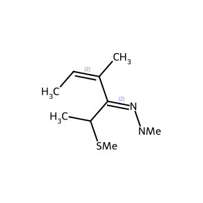 C/C=C(C)\C(=N\NC)C(C)SC